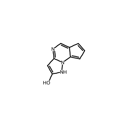 Oc1cc2ncc3cccc-3n2[nH]1